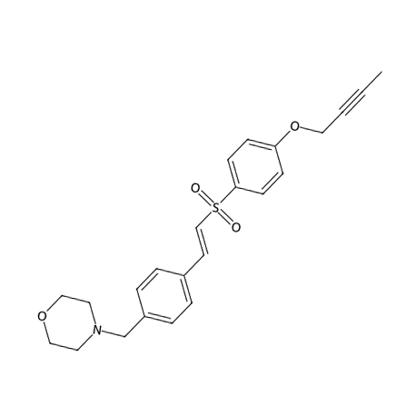 CC#CCOc1ccc(S(=O)(=O)C=Cc2ccc(CN3CCOCC3)cc2)cc1